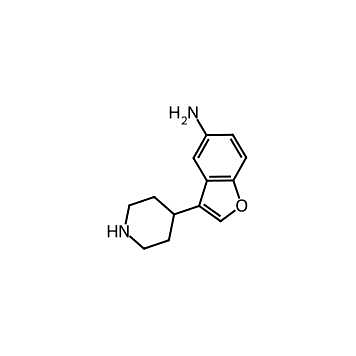 Nc1ccc2occ(C3CCNCC3)c2c1